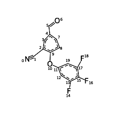 N#Cc1cc(C=O)ccc1Oc1cc(F)c(F)c(F)c1